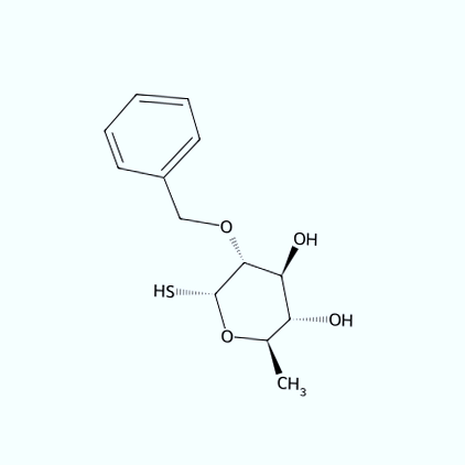 C[C@H]1O[C@H](S)[C@H](OCc2ccccc2)[C@@H](O)[C@@H]1O